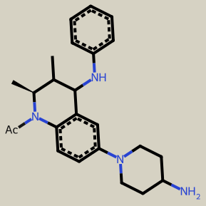 CC(=O)N1c2ccc(N3CCC(N)CC3)cc2C(Nc2ccccc2)C(C)[C@@H]1C